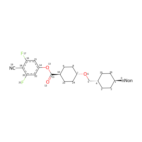 CCCCCCCCC[C@H]1CC[C@H](CO[C@H]2CC[C@H](C(=O)Oc3cc(F)c(C#N)c(F)c3)CC2)CC1